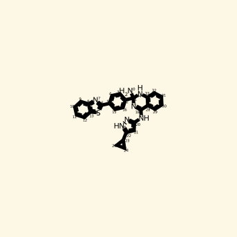 NC1(c2ccc(-c3nc4ccccc4s3)cc2)N=C(Nc2cc(C3CC3)[nH]n2)c2ccccc2N1